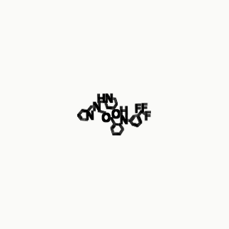 O=C(OCCN(Cc1ccccn1)CC1C=CCCN1)C1=CC=CCC1Nc1cccc(C(F)(F)F)c1